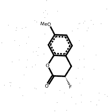 COc1ccc2c(c1)OC(=O)[C@@H](F)C2